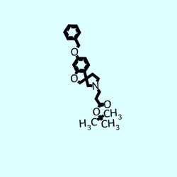 CC(C)(C)OC(=O)CCN1CCC2(COc3cc(OCc4ccccc4)ccc32)C1